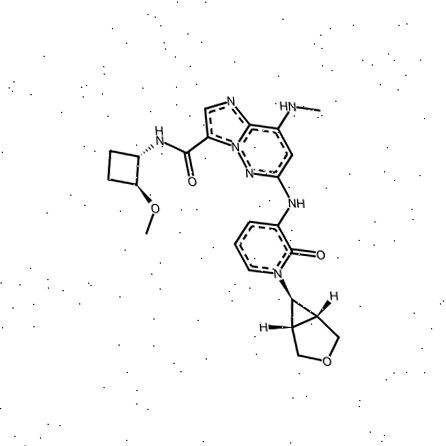 CNc1cc(Nc2cccn([C@H]3[C@@H]4COC[C@@H]43)c2=O)nn2c(C(=O)N[C@H]3CC[C@@H]3OC)cnc12